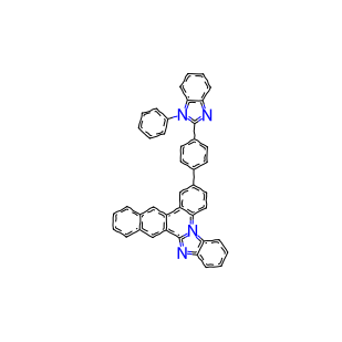 c1ccc(-n2c(-c3ccc(-c4ccc5c(c4)c4cc6ccccc6cc4c4nc6ccccc6n54)cc3)nc3ccccc32)cc1